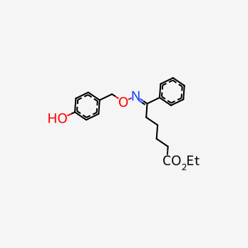 CCOC(=O)CCCC/C(=N\OCc1ccc(O)cc1)c1ccccc1